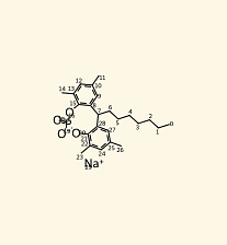 CCCCCCCC1c2cc(C)cc(C)c2OP(=O)([O-])Oc2c(C)cc(C)cc21.[Na+]